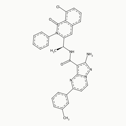 Cc1cccc(-c2ccn3nc(N)c(C(=O)N[C@@H](C)c4cc5cccc(Cl)c5c(=O)n4-c4ccccc4)c3n2)c1